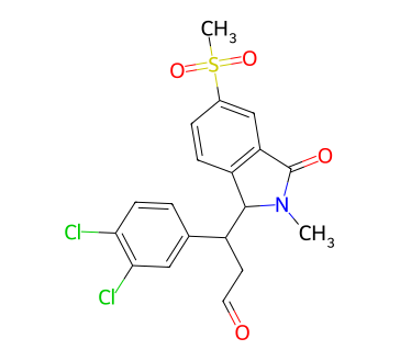 CN1C(=O)c2cc(S(C)(=O)=O)ccc2C1C(CC=O)c1ccc(Cl)c(Cl)c1